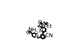 CCC(C)(C)n1c(=O)n(C)c2nc(-c3cc(CN4CCC(C(N)=O)CC4)ccc3C#N)ccc21